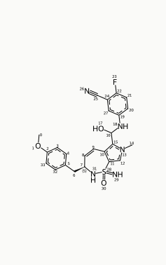 COc1ccc(C[C@H]2C=Cc3c(cn(C)c3C(O)Nc3ccc(F)c(C#N)c3)S(=N)(=O)N2)cc1